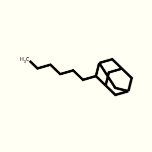 CCCCCC[C]1C2CC3CC(C2)CC1C3